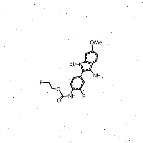 CCn1c(-c2ccc(NC(=O)OCCF)c(F)c2)c(N)c2ccc(OC)cc21